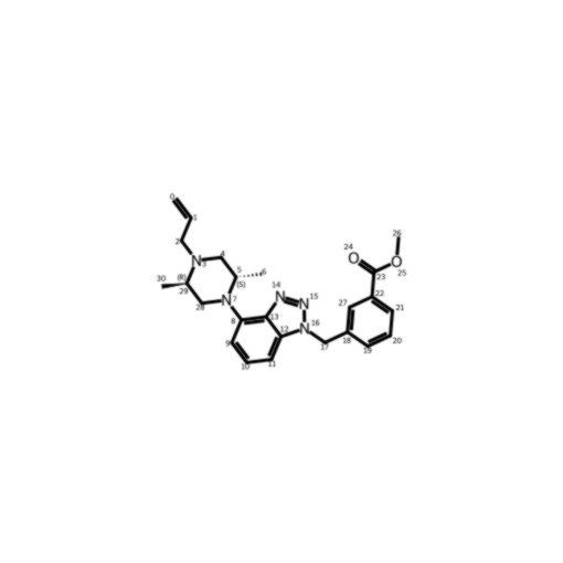 C=CCN1C[C@H](C)N(c2cccc3c2nnn3Cc2cccc(C(=O)OC)c2)C[C@H]1C